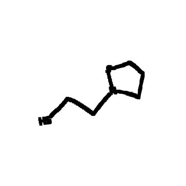 SCCN1CCCS1